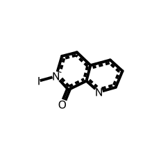 O=c1c2ncccc2ccn1I